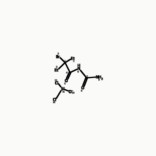 CCC(Br)(CC)C(=O)NC(N)=O.[O-][S+](Cl)Cl